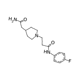 NC(=O)CC1CCN(CCC(=O)Nc2ccc(F)cc2)CC1